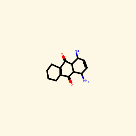 NC1C=CC(N)C2C(=O)C3=C(CCCC3)C(=O)C12